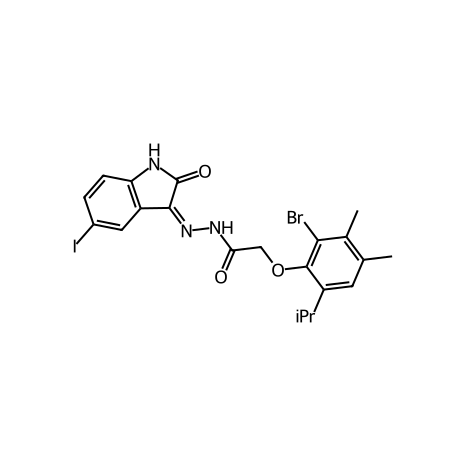 Cc1cc(C(C)C)c(OCC(=O)N/N=C2\C(=O)Nc3ccc(I)cc32)c(Br)c1C